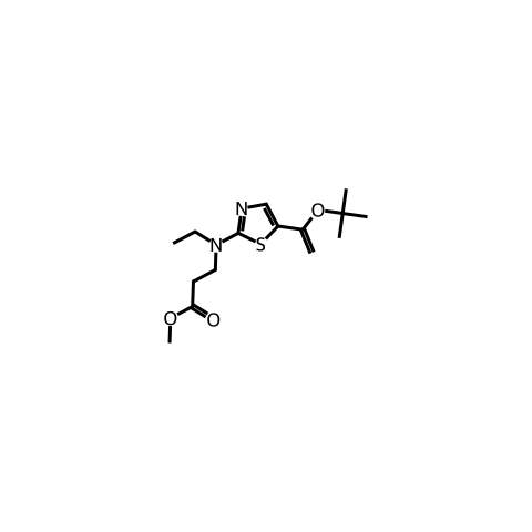 C=C(OC(C)(C)C)c1cnc(N(CC)CCC(=O)OC)s1